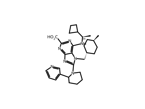 C[C@@H](Nc1nc(C(=O)O)nc2nc(N3CCCCC3c3cccnc3)n(C[C@H]3CC[C@H](C)CC3)c12)C1CCC1